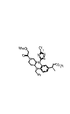 COCC(=O)N1CCC(N(CC(C)C)c2ccc([C@H](C)CC(=O)O)cc2Nc2nc(C(F)(F)F)ns2)CC1